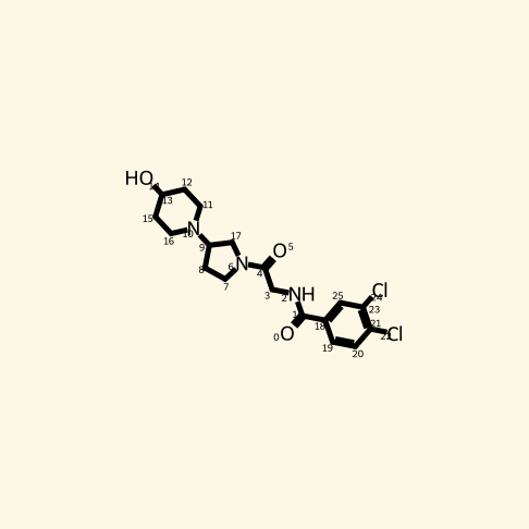 O=C(NCC(=O)N1CCC(N2CCC(O)CC2)C1)c1ccc(Cl)c(Cl)c1